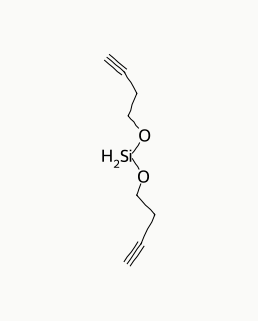 C#CCCO[SiH2]OCCC#C